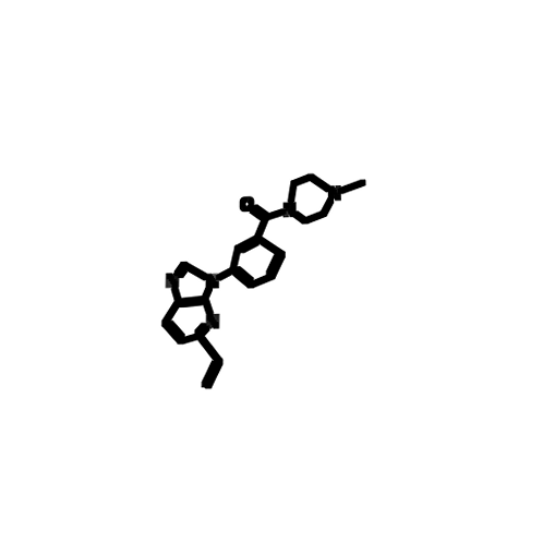 C=Cc1ccc2ncn(-c3cccc(C(=O)N4CCN(C)CC4)c3)c2n1